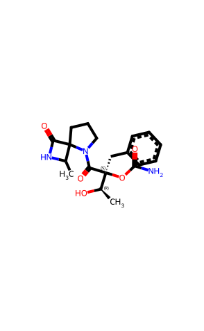 CC1NC(=O)C12CCCN2C(=O)[C@@](Cc1ccccc1)(OC(N)=O)[C@@H](C)O